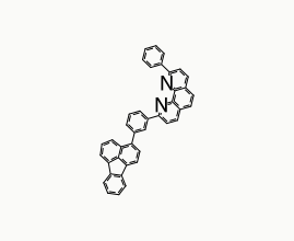 c1ccc(-c2ccc3ccc4ccc(-c5cccc(-c6ccc7c8c(cccc68)-c6ccccc6-7)c5)nc4c3n2)cc1